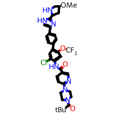 COC1CNC(c2nc(-c3ccc(-c4cc(Cl)c(NC(=O)c5ccc(N6CCN(C(=O)C(C)(C)C)CC6)nc5)cc4OC(F)(F)F)cc3)c[nH]2)C1